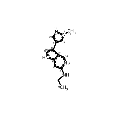 CCNc1cc2[nH]nc(-c3cnn(C)c3)c2cn1